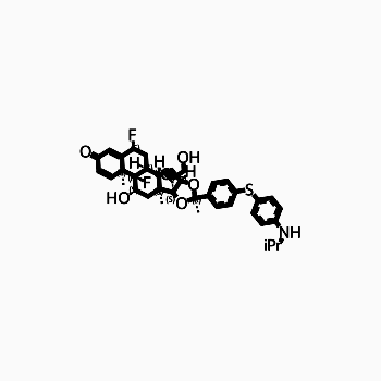 CC(C)Nc1ccc(Sc2ccc([C@]3(C)O[C@@H]4C[C@H]5[C@@H]6C[C@H](F)C7=CC(=O)C=C[C@]7(C)[C@@]6(F)[C@@H](O)C[C@]5(C)[C@]4(C(=O)CO)O3)cc2)cc1